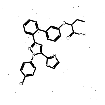 CCC(Oc1cccc(-c2ccccc2-c2cc(-c3nccs3)n(-c3ccc(Cl)cc3)n2)c1)C(=O)O